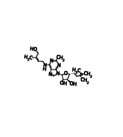 C=P(C)(C)CC[C@H]1OC(n2cnc3c(NC/C=C(/C)CO)nc(C)nc32)[C@H](O)[C@@H]1O